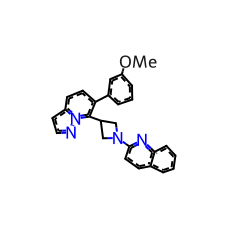 COc1cccc(-c2ccc3ccnn3c2C2CN(c3ccc4ccccc4n3)C2)c1